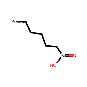 CC(C)CCCCC[Si](=O)O